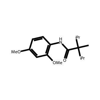 COc1ccc(NC(=O)C(C)(C(C)C)C(C)C)c(OC)c1